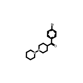 O=C(c1ccc(Br)cc1)C1CCN(N2CCCCC2)CC1